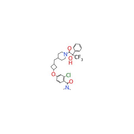 CN(C)C(=O)c1ccc(OC2CC(CC3CCN(C(=O)C(O)(c4ccccc4)C(F)(F)F)CC3)C2)cc1Cl